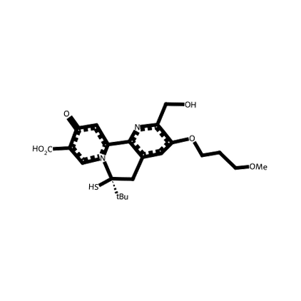 COCCCOc1cc2c(nc1CO)-c1cc(=O)c(C(=O)O)cn1[C@@](S)(C(C)(C)C)C2